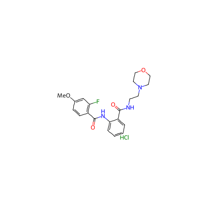 COc1ccc(C(=O)Nc2ccccc2C(=O)NCCN2CCOCC2)c(F)c1.Cl